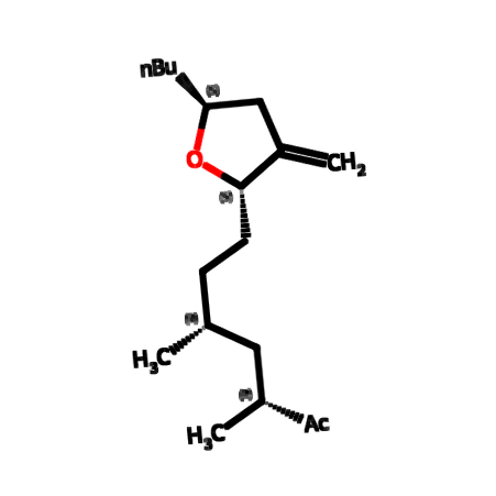 C=C1C[C@H](CCCC)O[C@H]1CC[C@@H](C)C[C@@H](C)C(C)=O